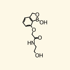 O=C(COc1cccc2c1B(O)OC2)NCCO